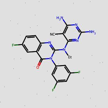 CCN(c1nc(N)nc(N)c1C#N)c1nc2ccc(F)cc2c(=O)n1-c1cc(F)cc(F)c1